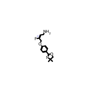 CC1(C)COC(c2ccc(OC/C(F)=C\CN)cc2)=N1